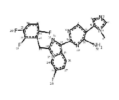 Cn1cncc1-c1cnc(-c2nc(Cc3c(F)ccc(F)c3F)n3cc(F)ccc23)nc1N